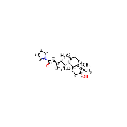 C=C1CC[C@@H]2C(C)(C)[C@H](O)CC[C@@]2(C)[C@@H]1CC/C(C)=C/C(=O)N1CCCC1